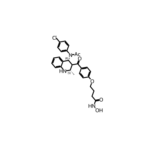 CC(=O)N(c1ccc(Cl)cc1)[C@H]1c2ccccc2N[C@@H](C)C1C(=O)c1ccc(OCCCC(=O)NO)cc1